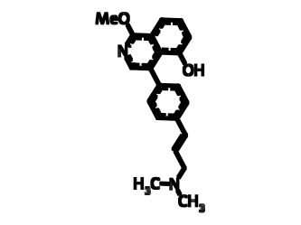 COc1ncc(-c2ccc(C=CCN(C)C)cc2)c2c(O)cccc12